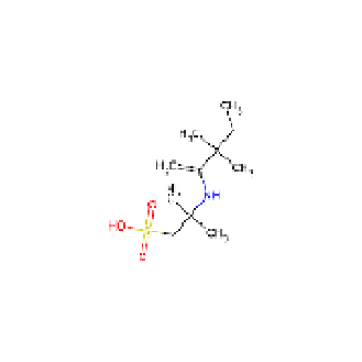 C=C(NC(C)(C)CS(=O)(=O)O)C(C)(C)CC